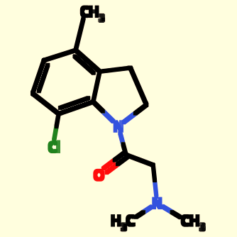 Cc1ccc(Cl)c2c1CCN2C(=O)CN(C)C